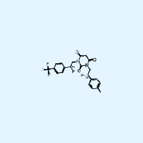 Cc1ccc([C@H](F)CN2C(=O)CC(=O)N(C[C@@H](F)c3ccc(C(F)(F)F)cc3)C2=O)cc1